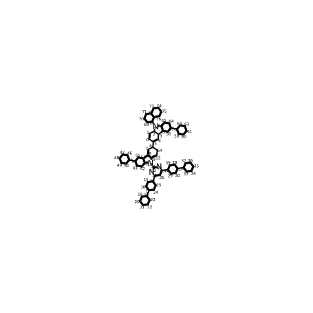 C1=CC2C(C=C1C1C=c3c(n(-c4nc(-c5ccc(-c6ccccc6)cc5)cc(-c5ccc(-c6ccccc6)cc5)n4)c4ccc(-c5ccccc5)cc34)=CC1)c1cc(-c3ccccc3)ccc1N2c1cccc2ccccc12